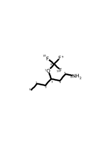 CCCC(CCN)OC(F)(F)F